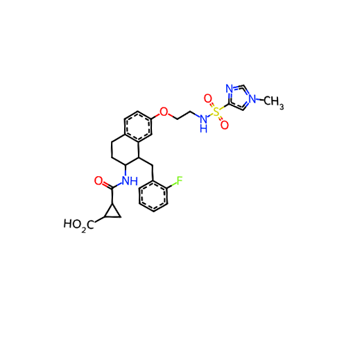 Cn1cnc(S(=O)(=O)NCCOc2ccc3c(c2)C(Cc2ccccc2F)C(NC(=O)C2CC2C(=O)O)CC3)c1